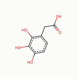 O=C(O)[CH]c1ccc(O)c(O)c1O